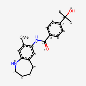 COc1cc2c(cc1NC(=O)c1ccc(C(C)(C)O)cc1)CCCCN2